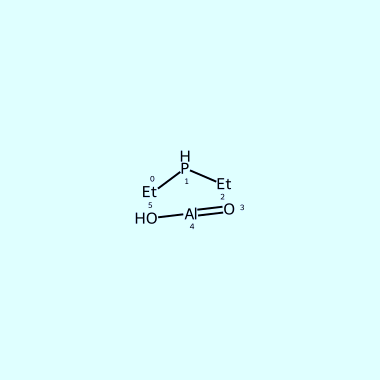 CCPCC.[O]=[Al][OH]